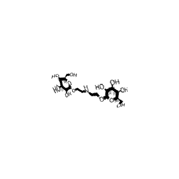 OC[C@H]1O[C@H](OCCNCCOC2O[C@H](CO)[C@@H](O)[C@H](O)[C@@H]2O)[C@@H](O)[C@@H](O)[C@@H]1O